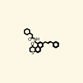 O=C(CC1CCCCC1)NCc1cc(C/C=C/c2ccccc2)cc2ccc3c(c12)C(=O)CCS3